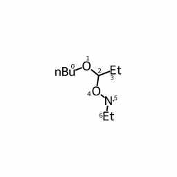 CCCCOC(CC)O[N]CC